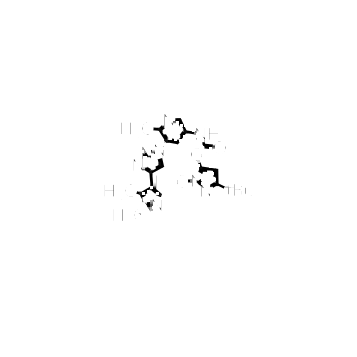 Cc1ncc(NC(=O)Oc2cc(C(C)(C)C)nn2C)cc1-n1cc(-c2cnn(C)c2C)nn1